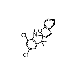 CN1c2c(Cl)cc(Cl)cc2C(C)(C)C12C=Cc1ccccc1O2